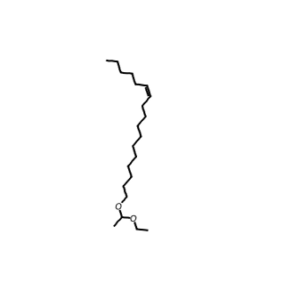 CCCCC/C=C\CCCCCCCCCCOC(C)OCC